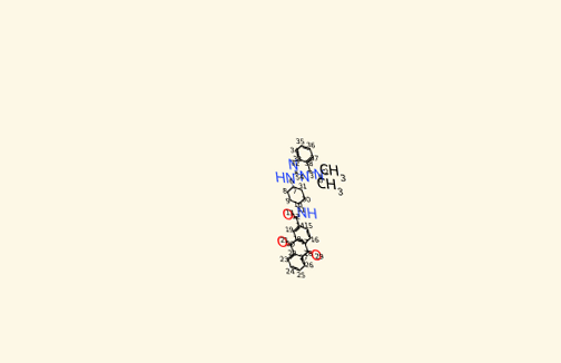 CN(C)c1nc(N[C@H]2CC[C@@H](NC(=O)c3ccc4c(c3)C(=O)c3ccccc3C4=O)CC2)nc2ccccc12